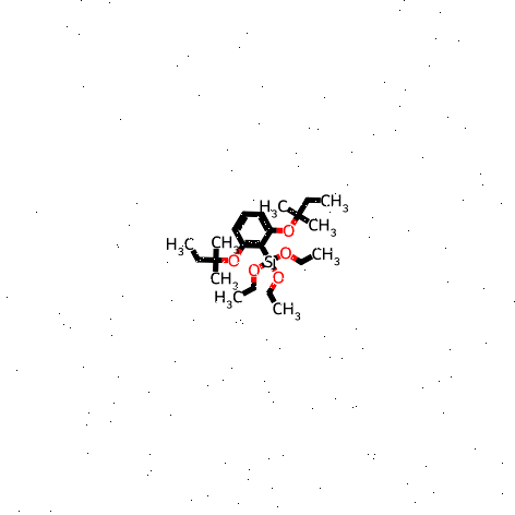 CCO[Si](OCC)(OCC)c1c(OC(C)(C)CC)cccc1OC(C)(C)CC